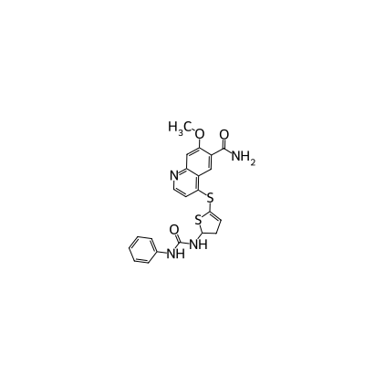 COc1cc2nccc(SC3=CCC(NC(=O)Nc4ccccc4)S3)c2cc1C(N)=O